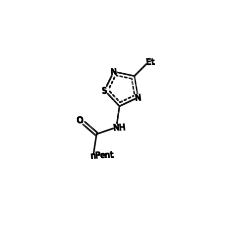 CCCCCC(=O)Nc1nc(CC)ns1